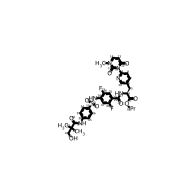 CC(C)OC(=O)[C@H](Cc1ccc(-n2c(=O)ccn(C)c2=O)nc1)NC(=O)c1cc(F)c(NS(=O)(=O)c2ccc(NC(=O)C(C)(C)CO)cc2)cc1F